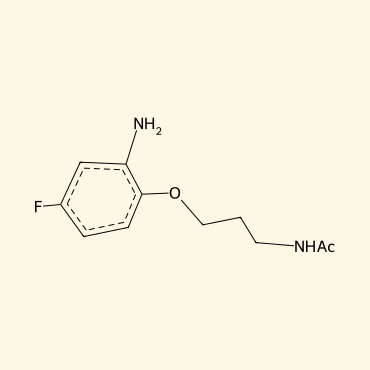 CC(=O)NCCCOc1ccc(F)cc1N